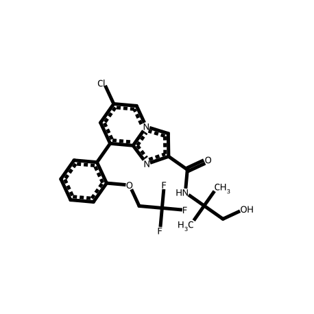 CC(C)(CO)NC(=O)c1cn2cc(Cl)cc(-c3ccccc3OCC(F)(F)F)c2n1